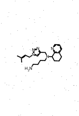 CC(C)=CCn1cc(CN(CCCCN)C2CCCc3cccnc32)nn1